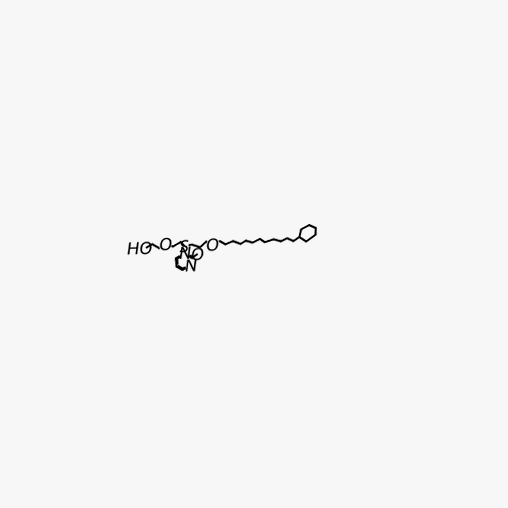 OCCOCCSCC(COCCCCCCCCCCCCC1CCCCC1)Oc1ncccn1